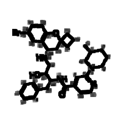 C[C@H]1CCCN(c2cc(C(=O)N[C@@H](Cc3ccccc3)[C@@H](O)CN[C@H]3CC4(CCC4)Oc4ccc(Br)cc43)ccn2)C1